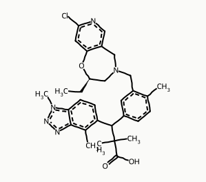 CC[C@@H]1CN(Cc2cc(C(c3ccc4c(nnn4C)c3C)C(C)(C)C(=O)O)ccc2C)Cc2cnc(Cl)cc2O1